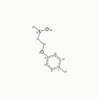 Cc1ccc(OCC[S+](C)[O-])cc1